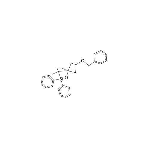 CC1(O[Si](c2ccccc2)(c2ccccc2)C(C)(C)C)CC(OCc2ccccc2)C1